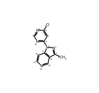 Cc1nn(-c2cc(Cl)ncn2)c2ccncc12